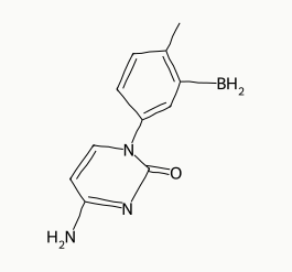 Bc1cc(-n2ccc(N)nc2=O)ccc1C